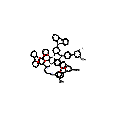 CC(C)(C)c1cc(-c2ccc(N3c4cc(-n5c6ccccc6c6ccccc65)ccc4B4c5ccc(-n6c7ccccc7c7ccccc76)cc5N(/C=C(/C=C\C=C\c5cccc(-c6ccccc6)c5)c5cccc(-c6ccccc6)c5)c5cc(-n6c7ccc(C(C)(C)C)cc7c7cc(C(C)(C)C)ccc76)cc3c54)cc2)cc(C(C)(C)C)c1